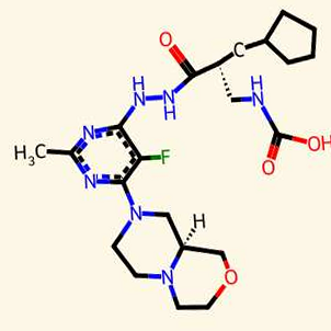 Cc1nc(NNC(=O)[C@@H](CNC(=O)O)CC2CCCC2)c(F)c(N2CCN3CCOC[C@@H]3C2)n1